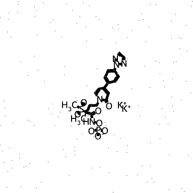 C[C@@](CCn1ccc(-c2ccc(-n3nccn3)cc2)cc1=O)(C(=O)NOP(=O)([O-])[O-])S(C)(=O)=O.[K+].[K+]